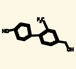 OCc1ccc(-c2ccc(O)cc2)c(C(F)(F)F)c1